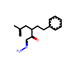 C=C(C)CC(CCc1ccccc1)C(=O)C=NN